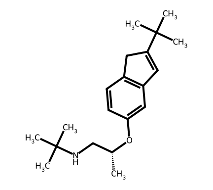 C[C@H](CNC(C)(C)C)Oc1ccc2c(c1)C=C(C(C)(C)C)C2